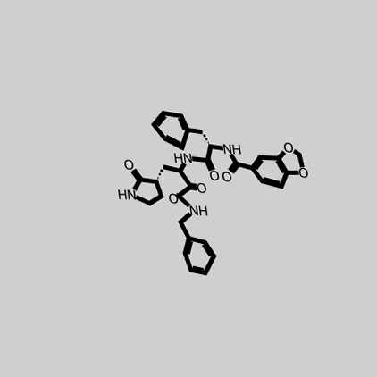 O=C(NCc1ccccc1)C(=O)C(C[C@@H]1CCNC1=O)NC(=O)[C@H](Cc1ccccc1)NC(=O)c1ccc2c(c1)OCO2